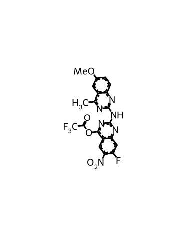 COc1ccc2nc(Nc3nc(OC(=O)C(F)(F)F)c4cc([N+](=O)[O-])c(F)cc4n3)nc(C)c2c1